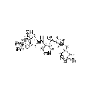 CC(C)[Si](O[C@H]1C[C@H](Nc2ncncc2C(=O)c2ccn(Cc3cncc(Br)c3)c2)C[C@@H]1CO)(C(C)C)C(C)C